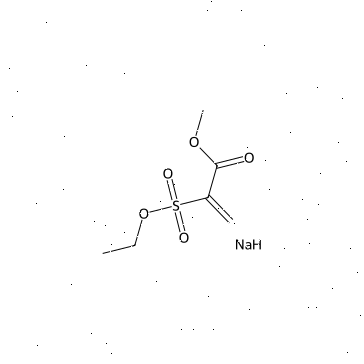 C=C(C(=O)OC)S(=O)(=O)OCC.[NaH]